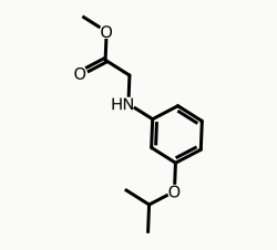 COC(=O)CNc1cccc(OC(C)C)c1